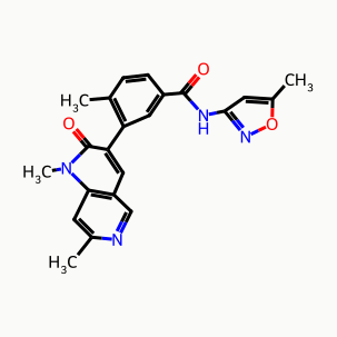 Cc1cc2c(cn1)cc(-c1cc(C(=O)Nc3cc(C)on3)ccc1C)c(=O)n2C